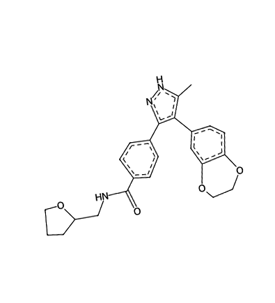 Cc1[nH]nc(-c2ccc(C(=O)NCC3CCCO3)cc2)c1-c1ccc2c(c1)OCCO2